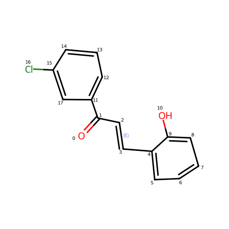 O=C(/C=C/c1ccccc1O)c1cccc(Cl)c1